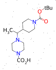 CC(C1CCN(C(=O)OC(C)(C)C)CC1)N1CCN(C(=O)O)CC1